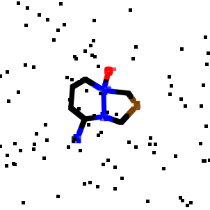 [N]C1CCC[N+]2([O-])CSCN12